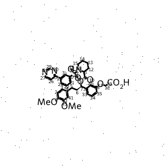 COc1ccc(CC[C@@H](OC(=O)C2CCCCN2S(=O)(=O)c2cccc(-c3ccncn3)c2)c2cccc(OCC(=O)O)c2)cc1OC